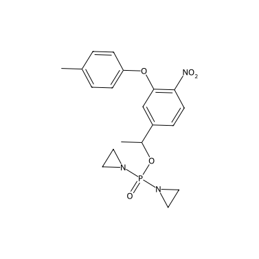 Cc1ccc(Oc2cc(C(C)OP(=O)(N3CC3)N3CC3)ccc2[N+](=O)[O-])cc1